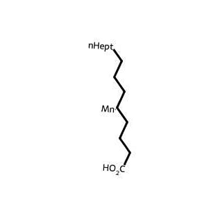 CCCCCCCCCCCCCCC(=O)O.[Mn]